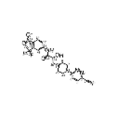 N#Cc1ccc(N2CCN(CC(O)C(=O)Nc3ccc([N+](=O)[O-])c(C(F)(F)F)c3)CC2)nn1